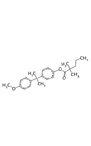 CCCC(C)(C)C(=O)Oc1ccc(C(C)(C)c2ccc(OC)cc2)cc1